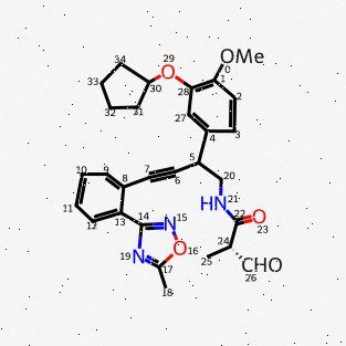 COc1ccc(C(C#Cc2ccccc2-c2noc(C)n2)CNC(=O)[C@@H](C)C=O)cc1OC1CCCC1